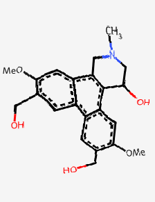 COc1cc2c3c(c4cc(OC)c(CO)cc4c2cc1CO)C(O)CN(C)C3